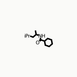 CC(C)CC(C)NC(=O)C1CCCCC1